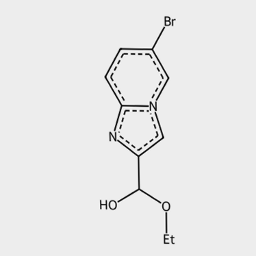 CCOC(O)c1cn2cc(Br)ccc2n1